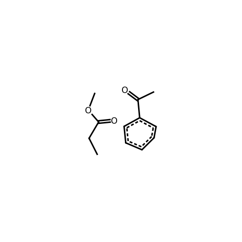 CC(=O)c1ccccc1.CCC(=O)OC